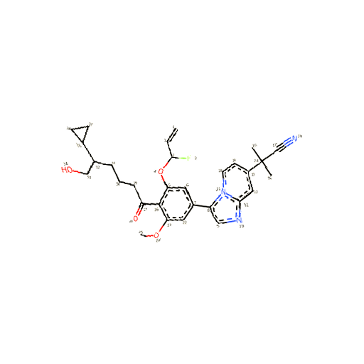 C=CC(F)Oc1cc(-c2cnc3cc(C(C)(C)C#N)ccn23)cc(OC)c1C(=O)CCCC(CO)C1CC1